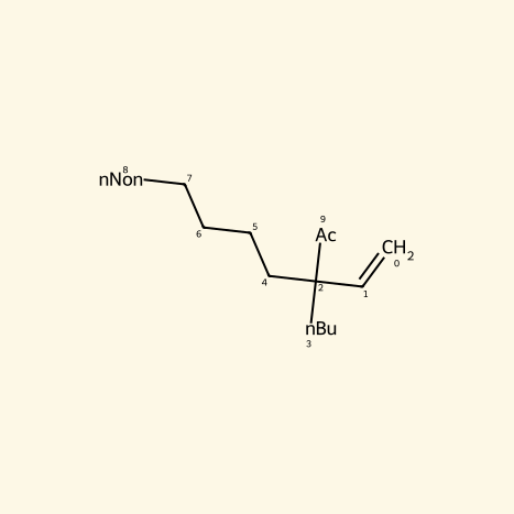 C=CC(CCCC)(CCCCCCCCCCCCC)C(C)=O